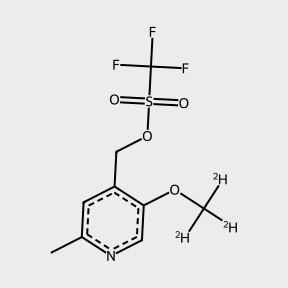 [2H]C([2H])([2H])Oc1cnc(C)cc1COS(=O)(=O)C(F)(F)F